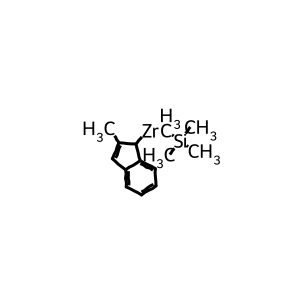 CC1=Cc2ccccc2[CH]1[Zr].C[Si](C)(C)C